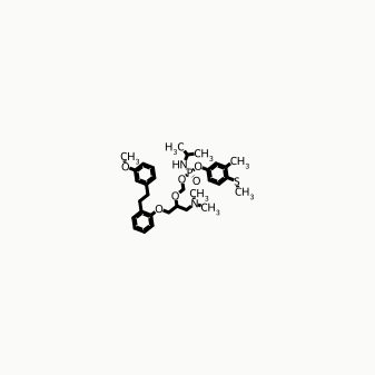 COc1cccc(CCc2ccccc2OCC(CN(C)C)OCOP(=O)(NC(C)C)Oc2ccc(SC)c(C)c2)c1